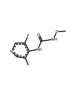 CONC(=O)Nc1c(C)cncc1F